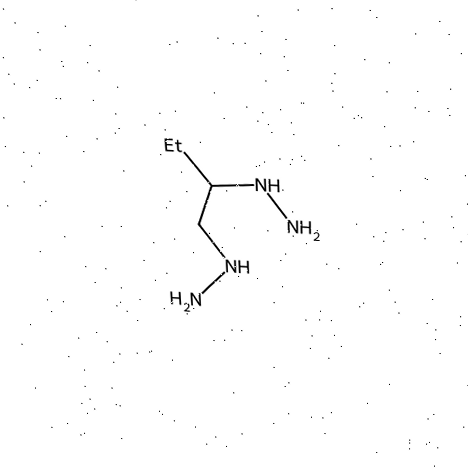 CCC(CNN)NN